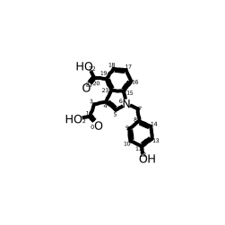 O=C(O)Cc1cn(Cc2ccc(O)cc2)c2cccc(C(=O)O)c12